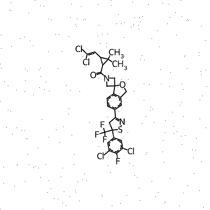 CC1(C)C(C=C(Cl)Cl)C1C(=O)N1CC2(C1)OCc1cc(C3=NSC(c4cc(Cl)c(F)c(Cl)c4)(C(F)(F)F)C3)ccc12